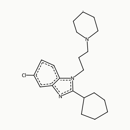 Clc1ccc2c(c1)nc(C1CCCCC1)n2CCCN1CC[CH]CC1